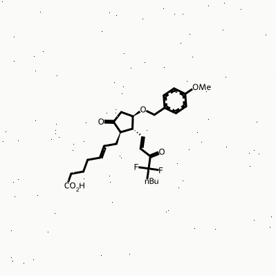 CCCCC(F)(F)C(=O)C=C[C@H]1[C@H](OCc2ccc(OC)cc2)CC(=O)[C@@H]1CC=CCCCC(=O)O